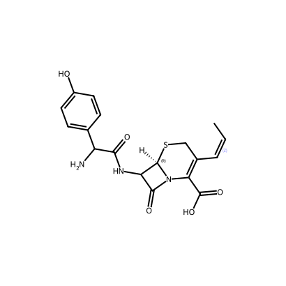 C/C=C\C1=C(C(=O)O)N2C(=O)C(NC(=O)C(N)c3ccc(O)cc3)[C@H]2SC1